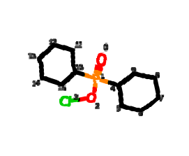 O=P(OCl)(C1CCCCC1)C1CCCCC1